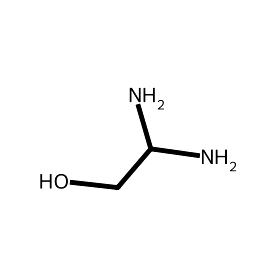 NC(N)CO